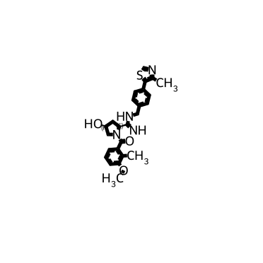 COc1cccc(C(=O)N2C[C@H](O)C[C@H]2C(=N)NCc2ccc(-c3scnc3C)cc2)c1C